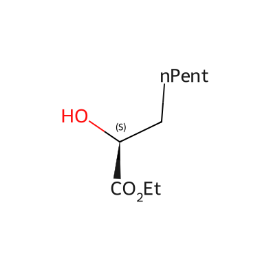 CCCCCC[C@H](O)C(=O)OCC